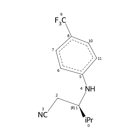 CC(C)[C@@H](CC#N)Nc1ccc(C(F)(F)F)cc1